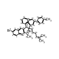 COc1nc2ccc(Br)cc2cc1C(c1ccccc1)C(O)(CCCCN(C)C)c1cccc(-c2ccc(C)cc2)c1